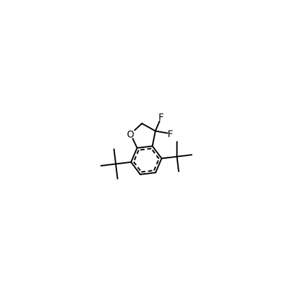 CC(C)(C)c1ccc(C(C)(C)C)c2c1OCC2(F)F